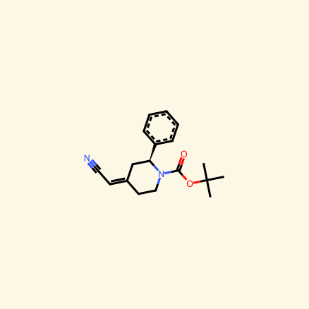 CC(C)(C)OC(=O)N1CCC(=CC#N)C[C@H]1c1ccccc1